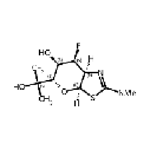 CNC1=N[C@@H]2[C@H](F)[C@H](O)[C@@H]([C@](C)(O)C(F)(F)F)O[C@@H]2S1